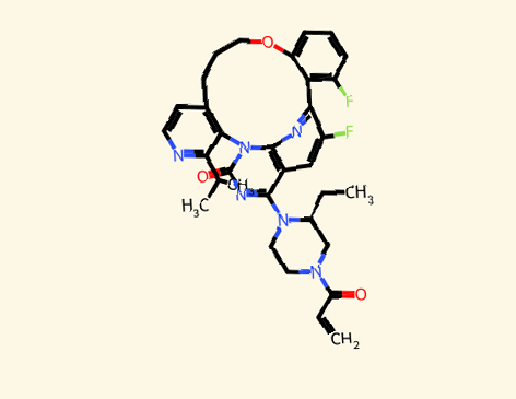 C=CC(=O)N1CCN(c2nc(=O)n3c4nc(c(F)cc24)-c2c(F)cccc2OCCCc2ccnc(C(C)C)c2-3)[C@@H](CC)C1